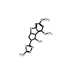 COc1cc(OC)c2c(c1)OC1CC(c3nnc(N)o3)C(O)C21